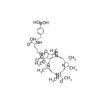 CC[C@H]1c2cc3[nH]c4c(c3C)C(=O)C(C(=O)OC)c4c3nc(cc4[nH]c(cc(n2)[C@@H]1C)c(C(C)=O)c4C)[C@@H](C)[C@@H]3CCC(=O)NCCC[C@H](NCCc1ccc(B(O)O)cc1)C(=O)O